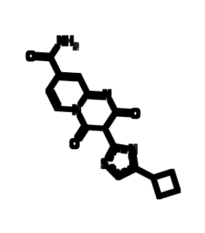 NC(=O)C1=CC2=NC(=O)C(c3nc(C4CCC4)cs3)C(=O)N2C=C1